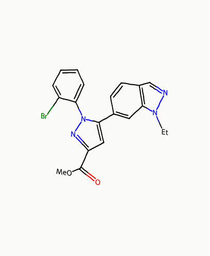 CCn1ncc2ccc(-c3cc(C(=O)OC)nn3-c3ccccc3Br)cc21